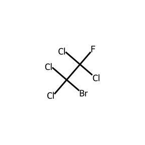 FC(Cl)(Cl)C(Cl)(Cl)Br